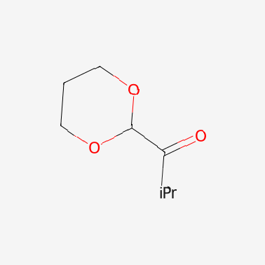 CC(C)C(=O)C1OCCCO1